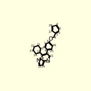 c1ccc(COc2ccc(-c3cnc4ccnn4c3C3CCCCC3)cc2)cc1